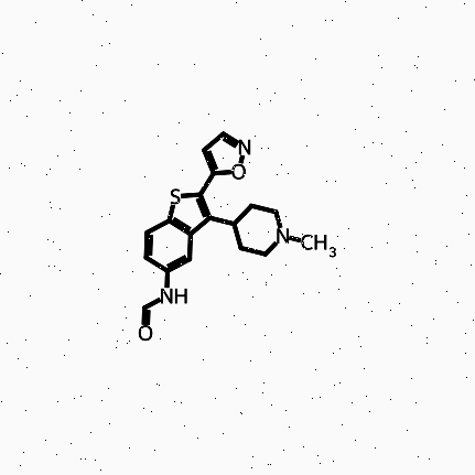 CN1CCC(c2c(-c3ccno3)sc3ccc(NC=O)cc23)CC1